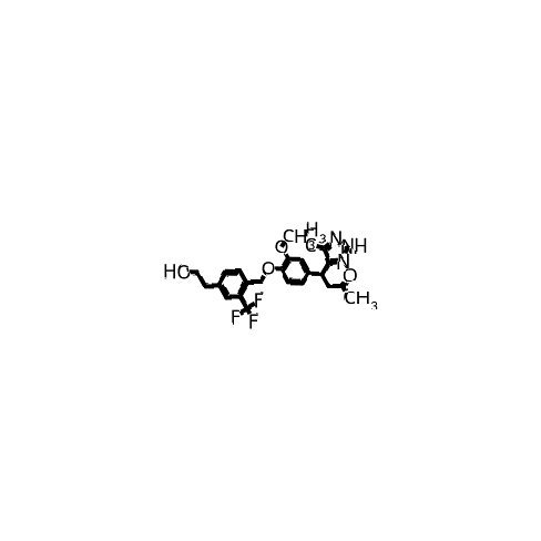 COc1cc(C(CC(C)=O)c2n[nH]nc2C)ccc1OCc1ccc(CCO)cc1C(F)(F)F